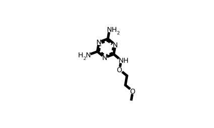 COCCONc1nc(N)nc(N)n1